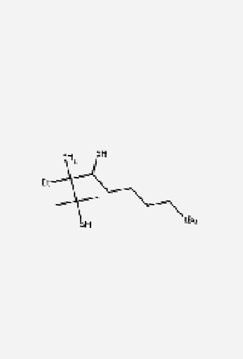 CCC(P)(C(S)CCCCC(C)(C)C)C(C)(C)S